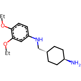 CCOc1ccc(NC[C@H]2CC[C@H](N)CC2)cc1OCC